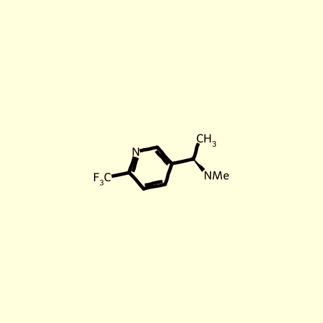 CN[C@H](C)c1ccc(C(F)(F)F)nc1